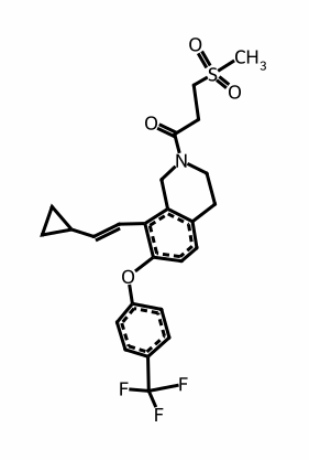 CS(=O)(=O)CCC(=O)N1CCc2ccc(Oc3ccc(C(F)(F)F)cc3)c(/C=C/C3CC3)c2C1